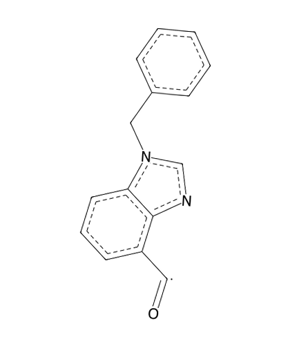 O=[C]c1cccc2c1ncn2Cc1ccccc1